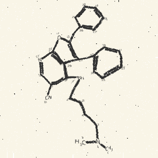 CN(C)CCCCNc1c(C#N)cnc2oc(-c3ccccc3)c(-c3ccccc3)c12